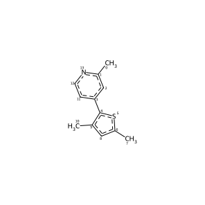 Cc1cc(-c2sc(C)cc2C)ccn1